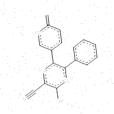 N#Cc1nc(-c2ccc(=O)[nH]c2)c(-c2ccccc2)nc1N